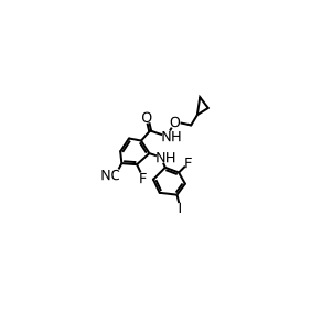 N#Cc1ccc(C(=O)NOCC2CC2)c(Nc2ccc(I)cc2F)c1F